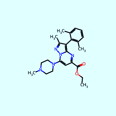 CCOC(=O)c1cc(N2CCN(C)CC2)n2nc(C)c(-c3c(C)cccc3C)c2n1